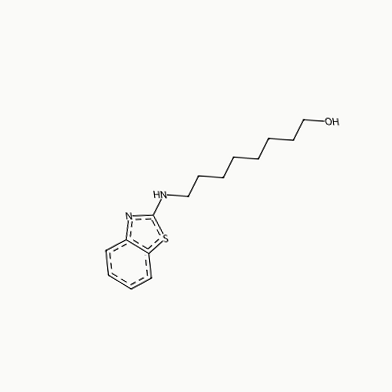 OCCCCCCCCNc1nc2ccccc2s1